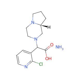 N.O=C(O)C(c1cccnc1Cl)N1CCN2CCC[C@@H]2C1